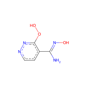 N/C(=N\O)c1ccnnc1OO